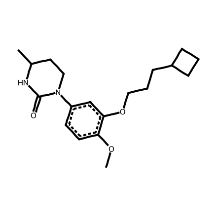 COc1ccc(N2CCC(C)NC2=O)cc1OCCCC1CCC1